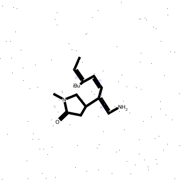 C\C=C(/C=C\C(=C/N)C1CC(=O)N(C)C1)C(C)CC